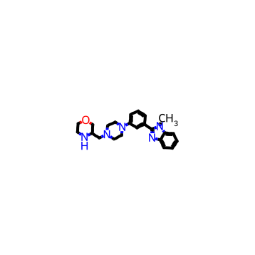 Cn1c(-c2cccc(N3CCN(CC4COCCN4)CC3)c2)nc2ccccc21